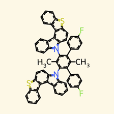 Cc1c(-c2ccc(F)cc2)c(-n2c3ccccc3c3c4c(ccc32)sc2ccccc24)c(C)c(-n2c3ccccc3c3c4c(ccc32)sc2ccccc24)c1-c1ccc(F)cc1